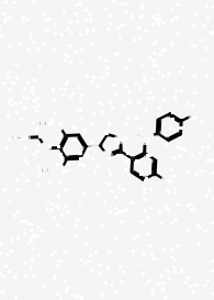 COCOc1c(OC)cc([C@H]2COC(c3ccc(C(F)(F)F)cc3[S@@+]([O-])c3ccc(C)cc3)=N2)cc1OC